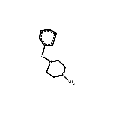 NN1CCN(Oc2ccccc2)CC1